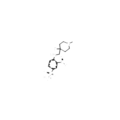 CN1CCC(F)(CNc2ccc(S(N)(=O)=O)cc2[N+](=O)[O-])CC1